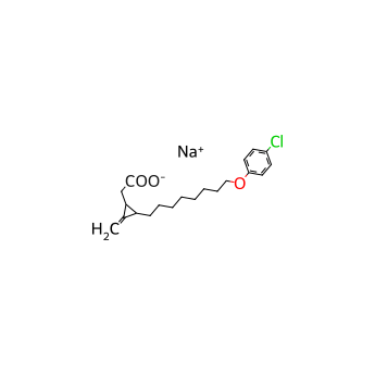 C=C1C(CCCCCCCCOc2ccc(Cl)cc2)C1CC(=O)[O-].[Na+]